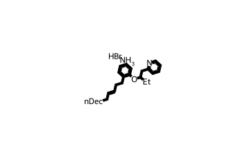 Br.CCCCCCCCCCCC=CCCc1ccccc1OC(CC)Cc1ccccn1.N